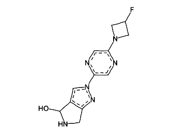 OC1NCc2nn(-c3cnc(N4CC(F)C4)cn3)cc21